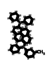 CC1C=CC=C(N(c2ccccc2)c2ccc3ccc4c(N(c5ccccc5)c5ccccc5)ccc5ccc2c3c54)C1